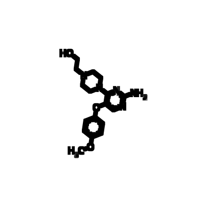 COc1ccc(Oc2cnc(N)nc2N2CCN(CCO)CC2)cc1